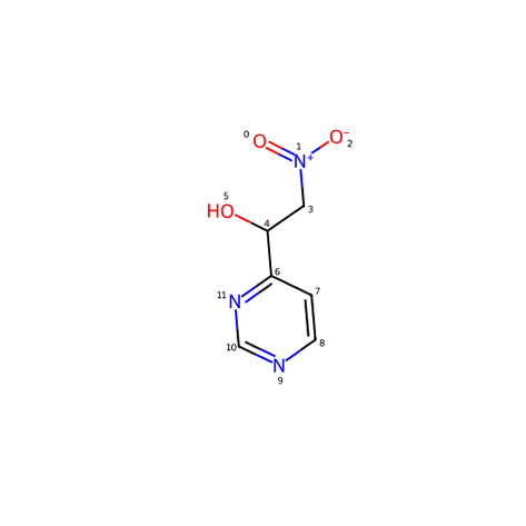 O=[N+]([O-])CC(O)c1ccncn1